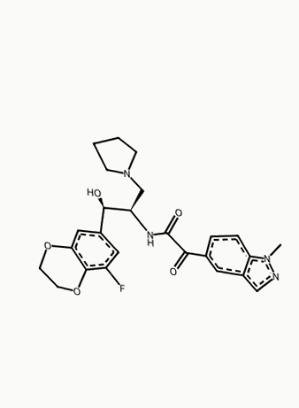 Cn1ncc2cc(C(=O)C(=O)N[C@H](CN3CCCC3)[C@H](O)c3cc(F)c4c(c3)OCCO4)ccc21